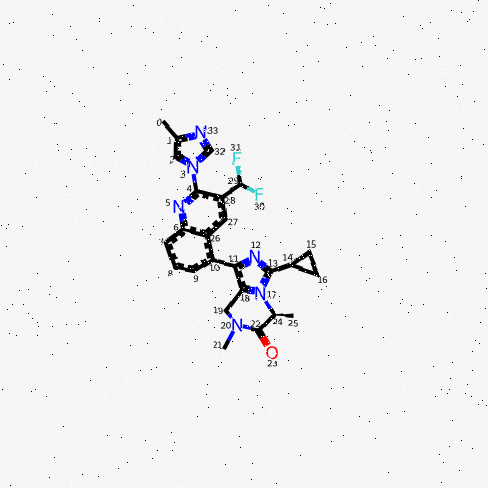 Cc1cn(-c2nc3cccc(-c4nc(C5CC5)n5c4CN(C)C(=O)[C@@H]5C)c3cc2C(F)F)cn1